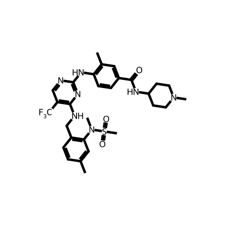 Cc1ccc(CNc2nc(Nc3ccc(C(=O)NC4CCN(C)CC4)cc3C)ncc2C(F)(F)F)c(N(C)S(C)(=O)=O)c1